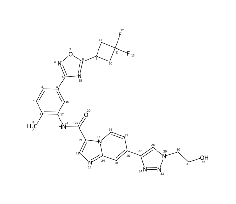 Cc1ccc(-c2noc(C3CC(F)(F)C3)n2)cc1NC(=O)c1cnc2cc(-c3cn(CCO)nn3)ccn12